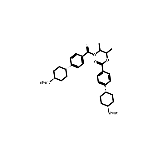 CCCCC[C@H]1CC[C@H](c2ccc(C(=O)OC(C)C(C)OC(=O)c3ccc([C@H]4CC[C@H](CCCCC)CC4)cc3)cc2)CC1